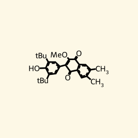 COC1=C(c2cc(C(C)(C)C)c(O)c(C(C)(C)C)c2)C(=O)c2cc(C)c(C)cc2C1=O